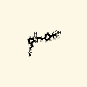 CCOCCc1cccc2[nH]c(CCc3ccc(C(C)(C)C(=O)O)cc3)nc12